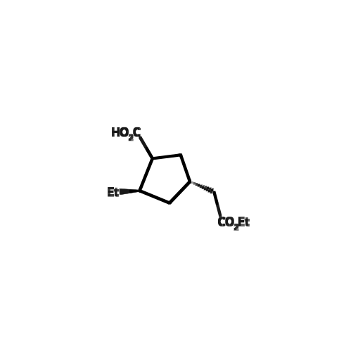 CCOC(=O)C[C@H]1CC(C(=O)O)[C@H](CC)C1